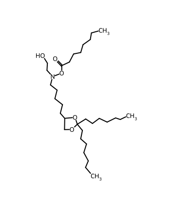 CCCCCCCC(=O)ON(CCO)CCCCCC1COC(CCCCCCC)(CCCCCCC)O1